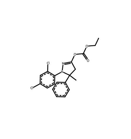 CCOC(=O)OC1=NN(c2ccc(Cl)cc2Cl)C(C)(c2ccccc2)C1